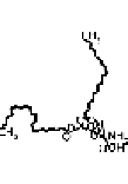 CCCCC/C=C\C/C=C\C/C=C\C/C=C\CCCCCC(=O)OC[C@H](COP(=O)(O)OC[C@H](N)C(=O)O)OC(=O)CCCCCCCCC/C=C\CCCCCCCC